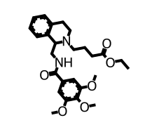 CCOC(=O)CCCN1CCc2ccccc2C1CNC(=O)c1cc(OC)c(OC)c(OC)c1